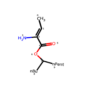 CC=C(N)C(=O)OC(CCCC)CCCCC